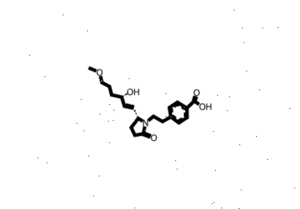 COCCC[C@H](O)/C=C/[C@H]1CCC(=O)N1CCc1ccc(C(=O)O)cc1